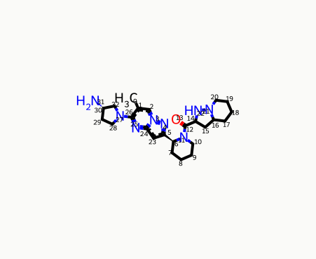 Cc1cn2nc([C@@H]3CCCCN3C(=O)C3CC4CCCCN4N3)cc2nc1N1CC[C@H](N)C1